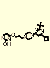 CC(C)(C)c1nc(C2CCC2)cc(N2CCN(CCCOc3ccnc(O)n3)CC2)n1